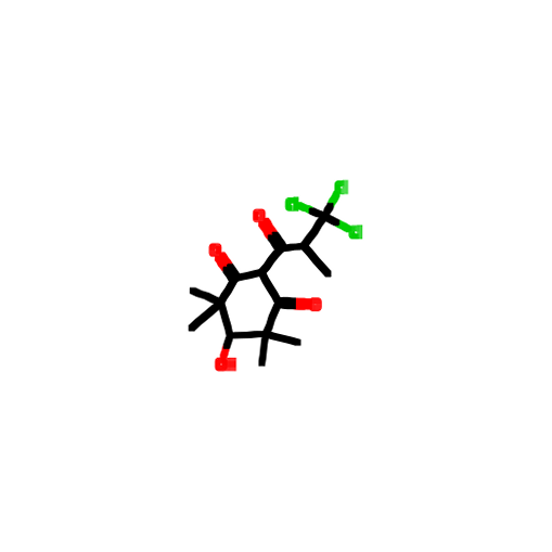 CC(C(=O)C1C(=O)C(C)(C)C(O)C(C)(C)C1=O)C(Cl)(Cl)Cl